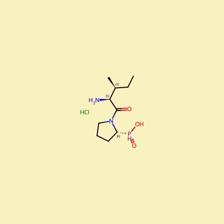 CC[C@H](C)[C@H](N)C(=O)N1CCC[C@H]1[PH](=O)O.Cl